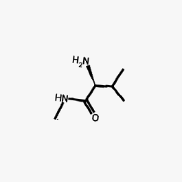 [CH2]NC(=O)[C@@H](N)C(C)C